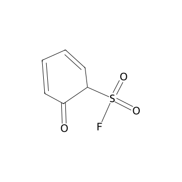 O=C1C=CC=CC1S(=O)(=O)F